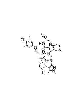 CCOCCn1c(C(=O)O)c(N2C[C@@H](C)n3c(c(CCCOc4cc(C)c(Cl)c(C)c4)c4ccc(Cl)c(-c5c(C)nn(C)c5C)c43)C2=O)c2cc(C)ccc21